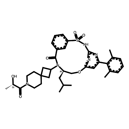 Cc1cccc(C)c1-c1cc2nc(n1)NS(=O)(=O)c1cccc(c1)C(=O)N(C1CC3(CCN(C(=O)[C@H](C)O)CC3)C1)[C@H](CC(C)C)CO2